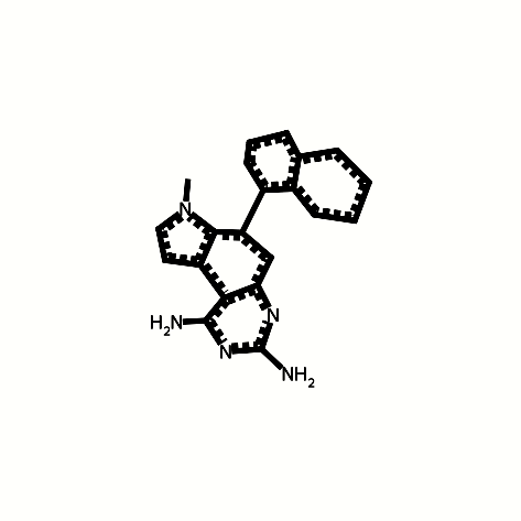 Cn1ccc2c3c(N)nc(N)nc3cc(-c3cccc4ccccc34)c21